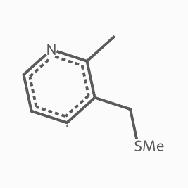 CSCc1[c]ccnc1C